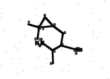 CCCCC(CC1CS1(C)C)C(C)N